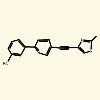 Cc1nc(C#Cc2ccc(-c3cccc(C#N)c3)nc2)cs1